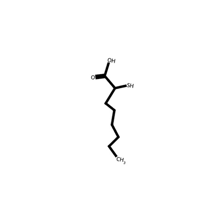 CCCCCCC(S)C(=O)O